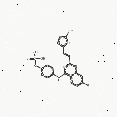 O=[N+]([O-])c1ccc(/C=C/c2nc(Nc3ccc(OP(=O)(O)O)cc3)c3ccc(F)cc3n2)o1